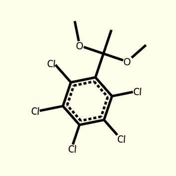 COC(C)(OC)c1c(Cl)c(Cl)c(Cl)c(Cl)c1Cl